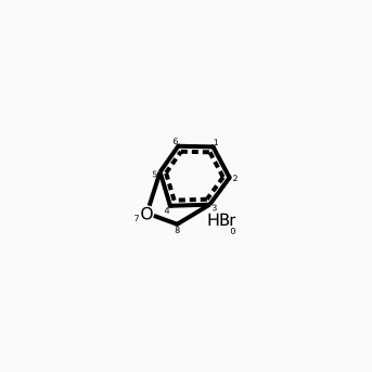 Br.c1cc2cc(c1)OC2